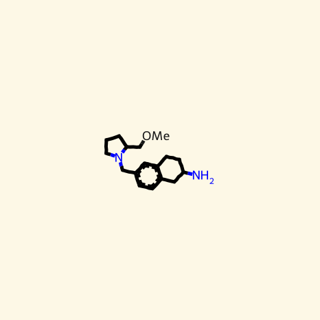 COCC1CCCN1Cc1ccc2c(c1)CCC(N)C2